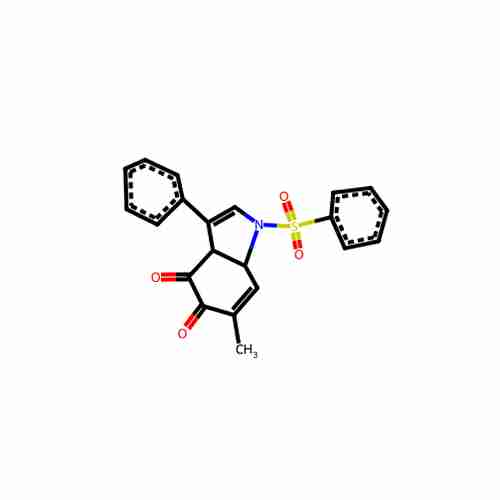 CC1=CC2C(C(=O)C1=O)C(c1ccccc1)=CN2S(=O)(=O)c1ccccc1